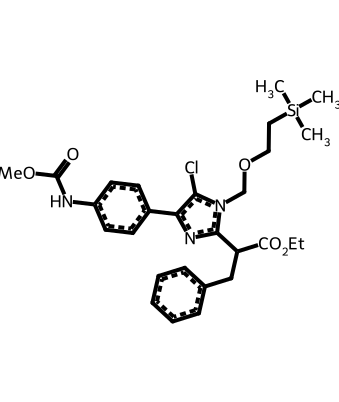 CCOC(=O)C(Cc1ccccc1)c1nc(-c2ccc(NC(=O)OC)cc2)c(Cl)n1COCC[Si](C)(C)C